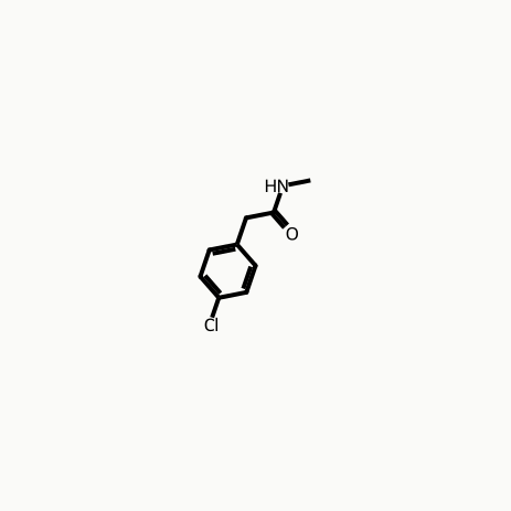 CNC(=O)Cc1ccc(Cl)cc1